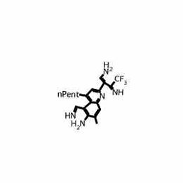 CCCCCc1cc(/C(=C/N)C(=N)C(F)(F)F)nc2cc(C)c(N)c(C=N)c12